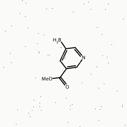 Bc1cncc(C(=O)OC)c1